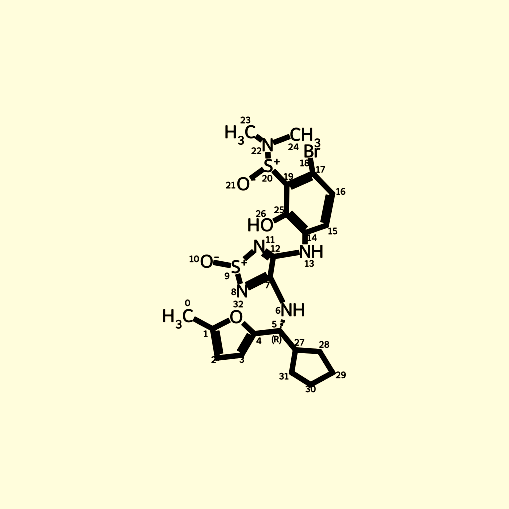 Cc1ccc([C@H](Nc2n[s+]([O-])nc2Nc2ccc(Br)c([S+]([O-])N(C)C)c2O)C2CCCC2)o1